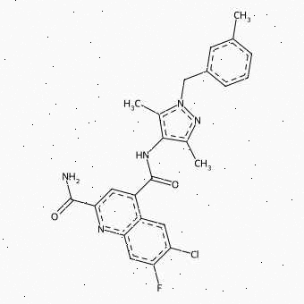 Cc1cccc(Cn2nc(C)c(NC(=O)c3cc(C(N)=O)nc4cc(F)c(Cl)cc34)c2C)c1